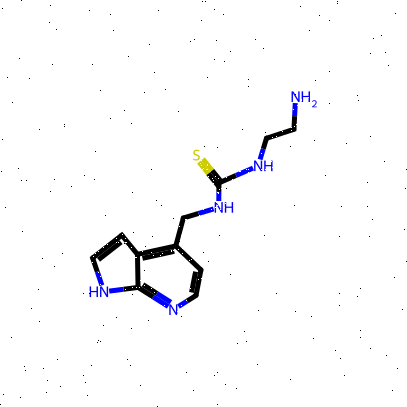 NCCNC(=S)NCc1ccnc2[nH]ccc12